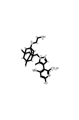 Cc1c(-c2c(C(C)(C)C)cc(Cl)nc2C(=O)O)cnn1CC12CC3(C)CC(C)(C1)CC(OCCO)(C3)C2